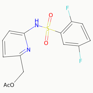 CC(=O)OCc1cccc(NS(=O)(=O)c2cc(F)ccc2F)n1